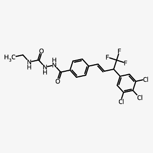 CCNC(=O)NNC(=O)c1ccc(/C=C/C(c2cc(Cl)c(Cl)c(Cl)c2)C(F)(F)F)cc1